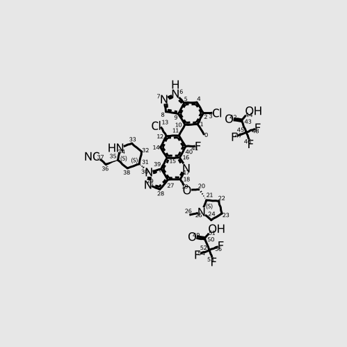 Cc1c(Cl)cc2[nH]ncc2c1-c1c(Cl)cc2c(nc(OC[C@@H]3CCCN3C)c3cnn([C@H]4CCN[C@H](CC#N)C4)c32)c1F.O=C(O)C(F)(F)F.O=C(O)C(F)(F)F